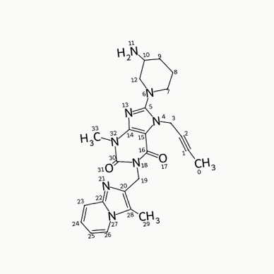 CC#CCn1c(N2CCCC(N)C2)nc2c1c(=O)n(Cc1nc3ccccn3c1C)c(=O)n2C